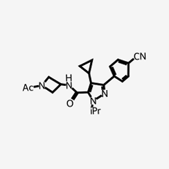 CC(=O)N1CC(NC(=O)c2c(C3CC3)c(-c3ccc(C#N)cc3)nn2C(C)C)C1